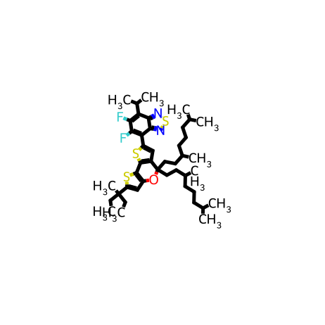 CCC(C)(CC)c1cc2c(s1)-c1sc(-c3c(F)c(F)c(C(C)C)c4nsnc34)cc1C(CCC(C)CCCC(C)C)(CCC(C)CCCC(C)C)O2